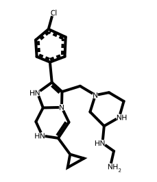 NCNC1CN(CC2=C(c3ccc(Cl)cc3)NC3CNC(C4CC4)=CN23)CCN1